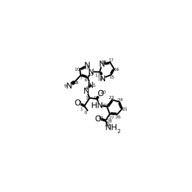 CC(=O)C(N=Nc1c(C#N)cnn1-c1ncccn1)C(=O)Nc1ccccc1C(N)=O